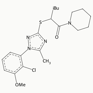 CCC(C)C(Sc1nc(C)n(-c2cccc(OC)c2Cl)n1)C(=O)N1CCCCC1